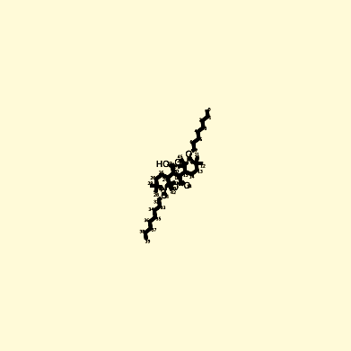 CCCCCCCCON1C(C)(C)CCC(C(C(=O)O)C(C(=O)O)C2CCC(C)(C)N(OCCCCCCCC)C2(C)C)C1(C)C